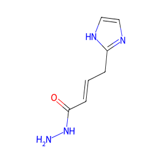 NNC(=O)C=CCc1ncc[nH]1